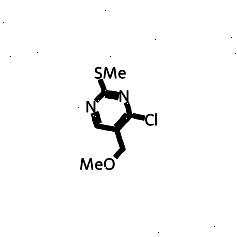 COCc1cnc(SC)nc1Cl